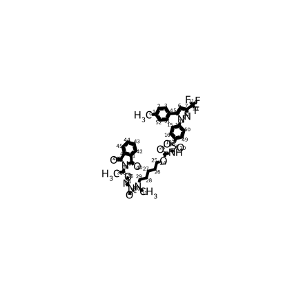 Cc1ccc(-c2cc(C(F)(F)F)nn2-c2ccc(S(=O)(=O)NC(=O)OCCCCCN(C)/[N+]([O-])=N\OC(C)N3C(=O)c4ccccc4C3=O)cc2)cc1